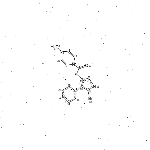 CN1C=CN(C(=O)Cn2cnc(Br)c2-c2ccncc2)C=C1